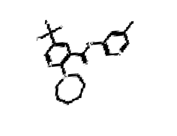 Cc1cncc(NC(=O)c2cc(C(F)(F)F)cnc2N2CCCCCC2)c1